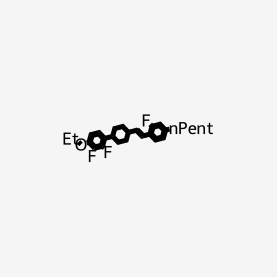 CCCCCc1ccc(/C=C/C2CCC(c3ccc(OCC)c(F)c3F)CC2)c(F)c1